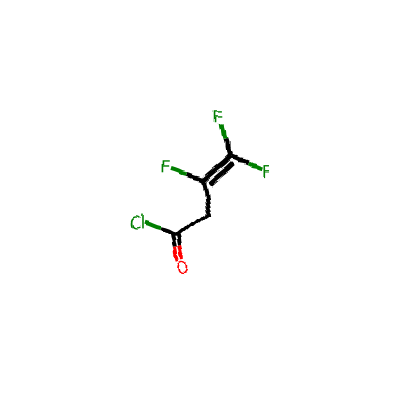 O=C(Cl)CC(F)=C(F)F